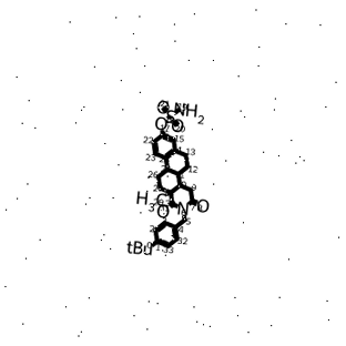 CC(C)(C)c1ccc(CN2C(=O)CC3C4CCc5cc(OS(N)(=O)=O)ccc5C4CC[C@]3(C)C2=O)cc1